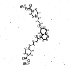 CC(C)(C)OC(=O)N1CCN(CCCCC(=O)c2ccnc3ccc(OCCCN4CCN(C(=O)OC(C)(C)C)CC4)cc23)CC1